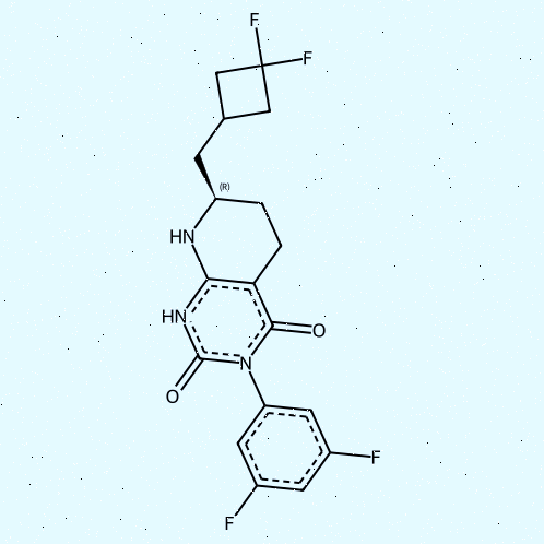 O=c1[nH]c2c(c(=O)n1-c1cc(F)cc(F)c1)CC[C@H](CC1CC(F)(F)C1)N2